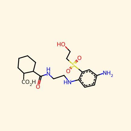 Nc1ccc(NCCNC(=O)C2CCCCC2C(=O)O)c(S(=O)(=O)CCO)c1